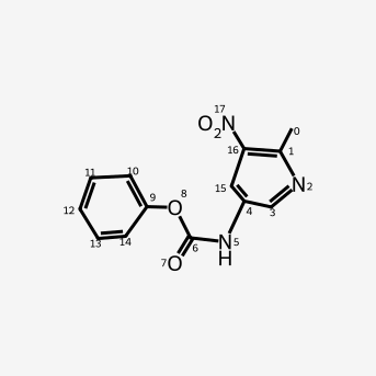 Cc1ncc(NC(=O)Oc2ccccc2)cc1[N+](=O)[O-]